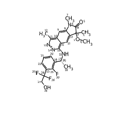 COC1(C)C(=O)N(C)c2cc3c(C)nnc(N[C@H](C)c4cccc(C(F)(F)CO)c4F)c3cc21